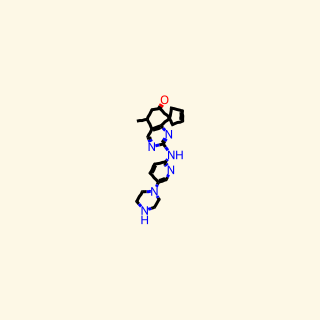 CC1CC(=O)C2(CC=CC2)c2nc(Nc3ccc(N4CCNCC4)cn3)ncc21